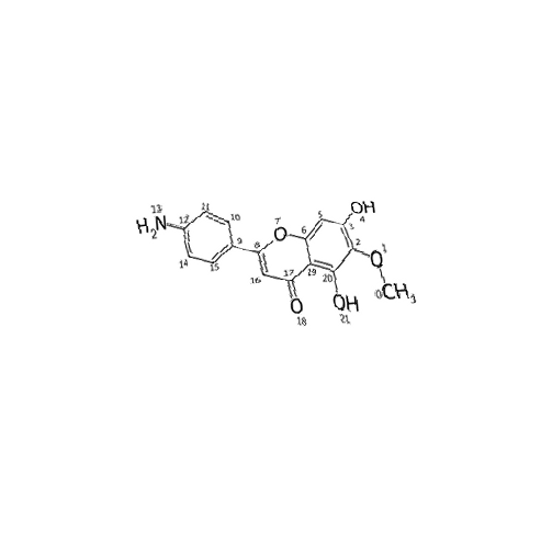 COc1c(O)cc2oc(-c3ccc(N)cc3)cc(=O)c2c1O